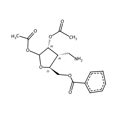 CC(=O)OC1O[C@H](COC(=O)c2ccccc2)[C@@H](CN)[C@H]1OC(C)=O